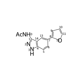 CC(=O)Nc1n[nH]c2ccc(-c3ccco3)cc12